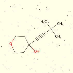 C[Si](C)(C)C#CC1(O)CCOCC1